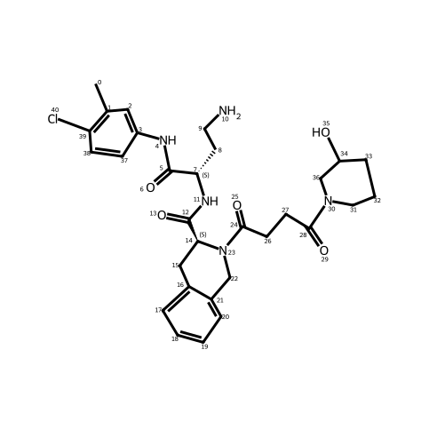 Cc1cc(NC(=O)[C@H](CCN)NC(=O)[C@@H]2Cc3ccccc3CN2C(=O)CCC(=O)N2CCCC(O)C2)ccc1Cl